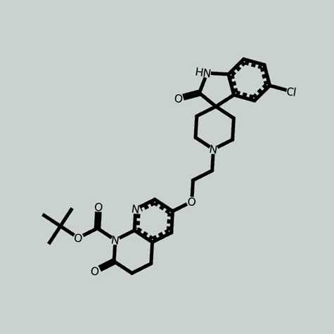 CC(C)(C)OC(=O)N1C(=O)CCc2cc(OCCN3CCC4(CC3)C(=O)Nc3ccc(Cl)cc34)cnc21